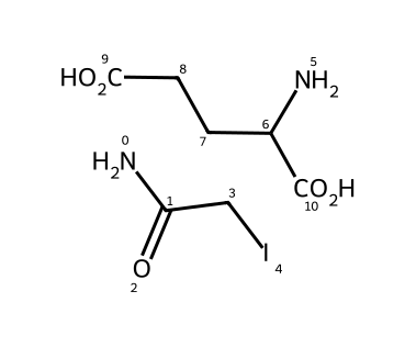 NC(=O)CI.NC(CCC(=O)O)C(=O)O